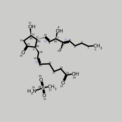 CCCC/C=C(\F)[C@H](O)/C=C/[C@H]1[C@H](O)CC(=O)[C@@H]1C/C=C\CCCC(=O)O.CS(N)(=O)=O